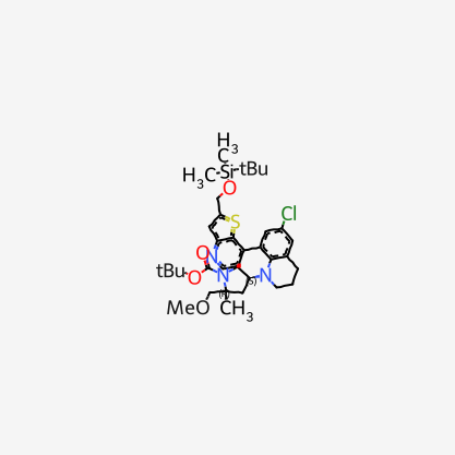 COC[C@@]1(C)C[C@H](N2CCCc3cc(Cl)cc(-c4ccnc5cc(CO[Si](C)(C)C(C)(C)C)sc45)c32)CN1C(=O)OC(C)(C)C